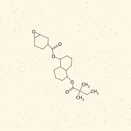 CCC(C)(C)C(=O)OC1CCCC2C(OC(=O)C3CCC4OC4C3)CCCC12